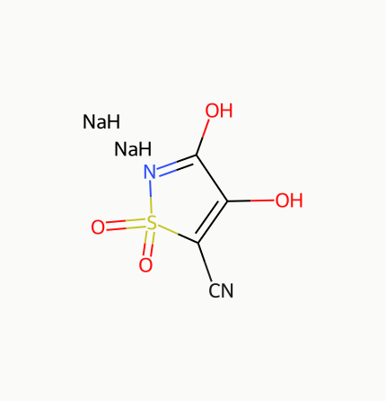 N#CC1=C(O)C(O)=NS1(=O)=O.[NaH].[NaH]